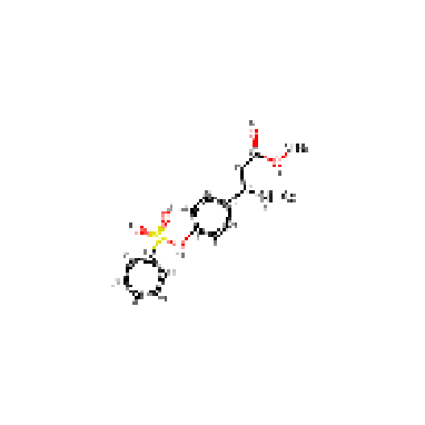 CC(=O)NC(CC(=O)OC(C)(C)C)c1ccc(OS(=O)(=O)c2ccccc2)cc1